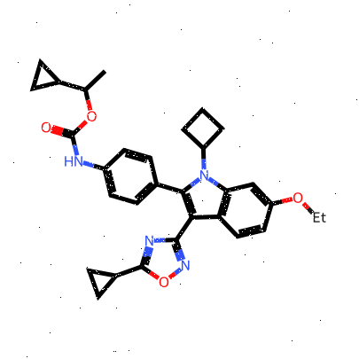 CCOc1ccc2c(-c3noc(C4CC4)n3)c(-c3ccc(NC(=O)OC(C)C4CC4)cc3)n(C3CCC3)c2c1